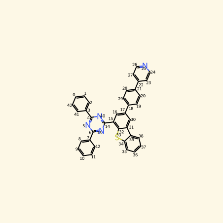 c1ccc(-c2nc(-c3ccccc3)nc(-c3cc(-c4ccc(-c5ccncc5)cc4)cc4c3sc3ccccc34)n2)cc1